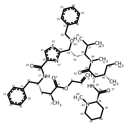 C=CCOC(=O)[C@@H](C)C[C@H](Cc1ccccc1)NC(=O)c1csc([C@@H](C[C@H](C(C)C)N(C)C(=O)[C@@H](NC(=O)[C@H]2CCCCN2C)[C@@H](C)CC)OCc2ccccc2)n1